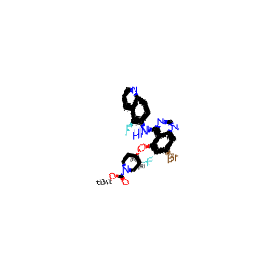 CC(C)(C)OC(=O)N1CC[C@@H](Oc2cc(Br)cc3ncnc(Nc4ccc5ncccc5c4F)c23)[C@H](F)C1